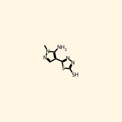 Cn1ncc(-c2nnc(S)s2)c1N